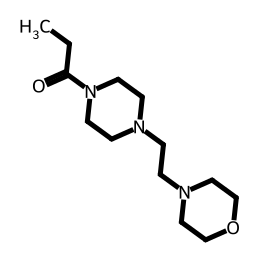 CCC(=O)N1CCN(CCN2CCOCC2)CC1